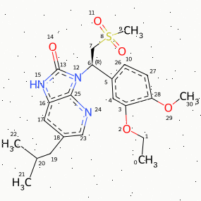 CCOc1cc([C@H](CS(C)(=O)=O)n2c(=O)[nH]c3cc(CC(C)C)cnc32)ccc1OC